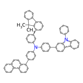 CC1(C)c2ccccc2-c2cccc(-c3cccc(N(c4ccc(-c5ccc6c7ccccc7n(-c7ccccc7)c6c5)cc4)c4ccc(-c5cccc6c5ccc5ccccc56)cc4)c3)c21